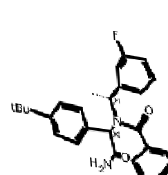 C[C@H](c1cccc(F)c1)N(C(=O)c1ccccc1)[C@@H](C(N)=O)c1ccc(C(C)(C)C)cc1